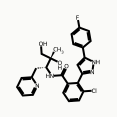 C[C@](O)(CO)[C@@H](Cc1ccccn1)NC(=O)c1cccc(Cl)c1-c1cc(-c2ccc(F)cc2)[nH]n1